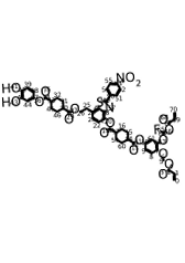 C=CC(=O)OCOc1ccc(OC(=O)C2CCC(C(=O)Oc3ccc(CCOC(=O)C4CCC(C(=O)Oc5ccc(O)c(O)c5)CC4)c4sc(-c5ccc([N+](=O)[O-])cc5)nc34)CC2)cc1OC(F)OC(=O)C=C